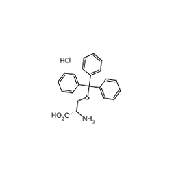 Cl.N[C@@H](CSC(c1ccccc1)(c1ccccc1)c1ccccc1)C(=O)O